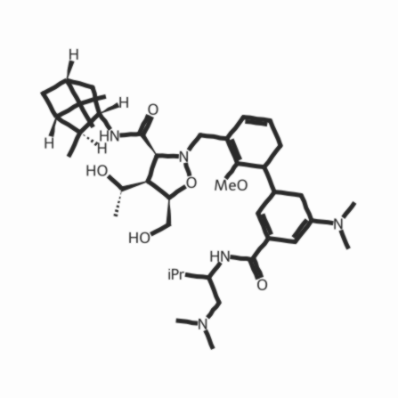 COC1=C(CN2O[C@@H](CO)[C@@H]([C@H](C)O)[C@H]2C(=O)N[C@H]2C[C@H]3C[C@@H]([C@@H]2C)C3(C)C)C=CCC1C1C=C(C(=O)NC(CN(C)C)C(C)C)C=C(N(C)C)C1